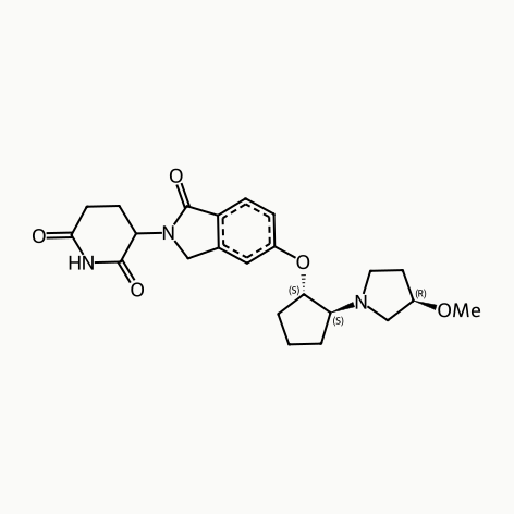 CO[C@@H]1CCN([C@H]2CCC[C@@H]2Oc2ccc3c(c2)CN(C2CCC(=O)NC2=O)C3=O)C1